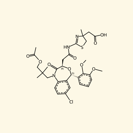 COc1cccc([C@H]2O[C@H](CC(=O)NC3=NC(C)(CC(=O)O)CS3)C(=O)N(CC(C)(C)COC(C)=O)c3ccc(Cl)cc32)c1OC